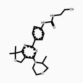 CC1COCCN1c1nc(-c2ccc(NC(=O)NCCC#N)cc2)nc2c1COC2(C)C